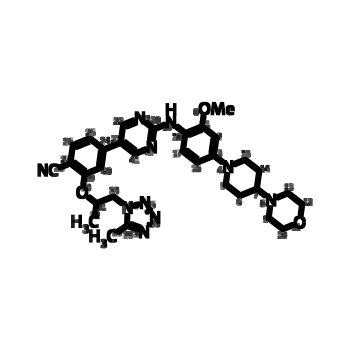 COc1cc(N2CCC(N3CCOCC3)CC2)ccc1Nc1ncc(-c2ccc(C#N)c(OC(C)Cn3nnnc3C)c2)cn1